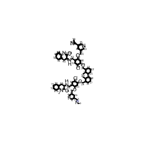 C/N=C/c1cncc(COc2cc(OCc3cccc(-c4cccc(COc5cc(OCc6cncc(C7=NC7)c6)c(CNC(Cc6ccccc6)C(N)=O)cc5Cl)c4C)c3C)c(Cl)cc2CNC(Cc2ccccc2)C(N)=O)c1